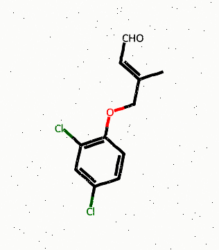 CC(=CC=O)COc1ccc(Cl)cc1Cl